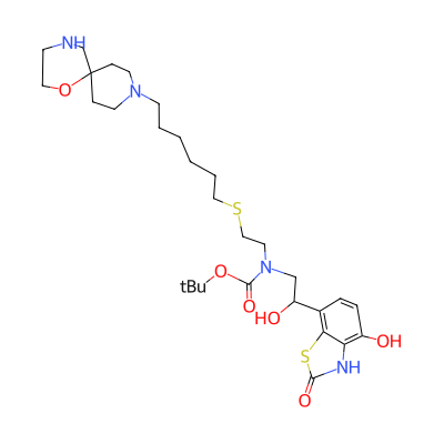 CC(C)(C)OC(=O)N(CCSCCCCCCN1CCC2(CC1)CNCCO2)CC(O)c1ccc(O)c2[nH]c(=O)sc12